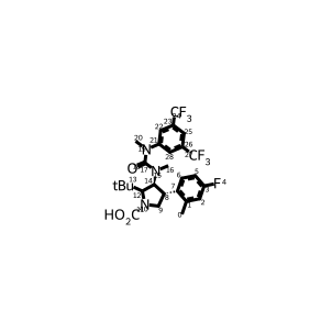 Cc1cc(F)ccc1[C@@H]1CN(C(=O)O)C(C(C)(C)C)[C@H]1N(C)C(=O)N(C)c1cc(C(F)(F)F)cc(C(F)(F)F)c1